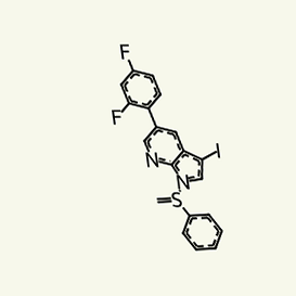 C=S(c1ccccc1)n1cc(I)c2cc(-c3ccc(F)cc3F)cnc21